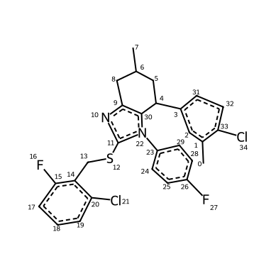 Cc1cc(C2CC(C)Cc3nc(SCc4c(F)cccc4Cl)n(-c4ccc(F)cc4)c32)ccc1Cl